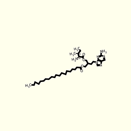 CCCCCCCCCCCCCCCCCCCC(=O)OCC(CCn1cnc2cnc(N)nc21)COC(=O)[C@@H](N)[C@@H](C)CC